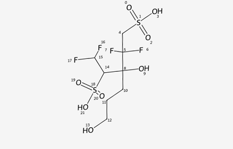 O=S(=O)(O)CC(F)(F)C(O)(CCCO)C(C(F)F)S(=O)(=O)O